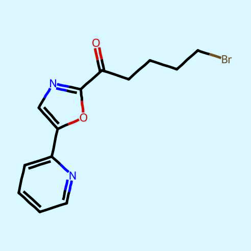 O=C(CCCCBr)c1ncc(-c2ccccn2)o1